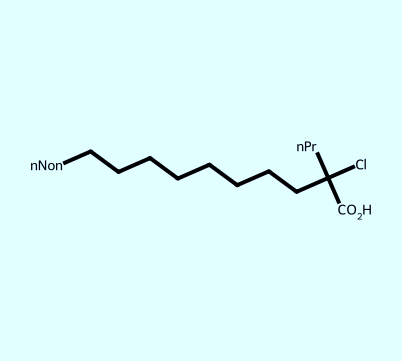 CCCCCCCCCCCCCCCCCC(Cl)(CCC)C(=O)O